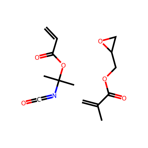 C=C(C)C(=O)OCC1CO1.C=CC(=O)OC(C)(C)N=C=O